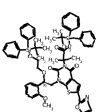 COc1ccccc1[C@H](Cn1c(=O)n(C(C)(C)C(=O)O[Si](c2ccccc2)(c2ccccc2)C(C)(C)C)c(=O)c2cc(-c3ncco3)sc21)OCCO[Si](c1ccccc1)(c1ccccc1)C(C)(C)C